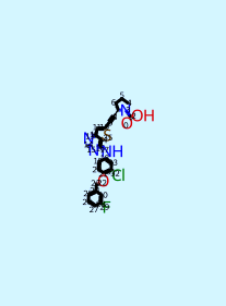 O=C(O)N1CCC[C@@H]1C#Cc1cc2ncnc(Nc3ccc(OCc4cccc(F)c4)c(Cl)c3)c2s1